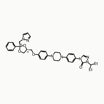 CCC(CC)n1ncn(-c2ccc(N3CCN(c4ccc(OC[C@H]5CO[C@](Cn6cccn6)(c6ccccc6)O5)cc4)CC3)cc2)c1=O